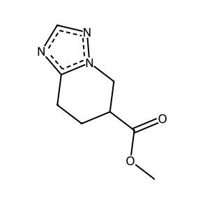 COC(=O)C1CCc2ncnn2C1